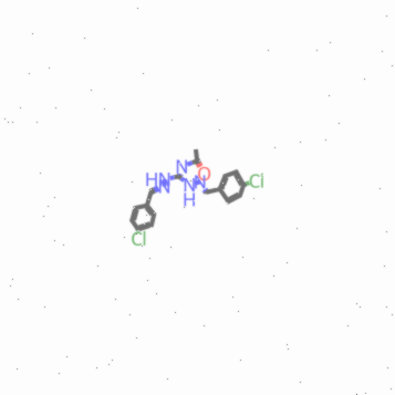 CC(=O)N=C(N/N=C/c1ccc(Cl)cc1)N/N=C/c1ccc(Cl)cc1